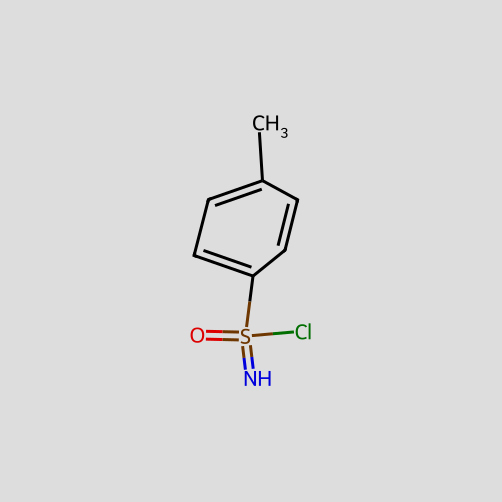 Cc1ccc(S(=N)(=O)Cl)cc1